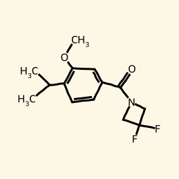 COc1cc(C(=O)N2CC(F)(F)C2)ccc1C(C)C